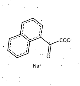 O=C([O-])C(=O)c1cccc2ccccc12.[Na+]